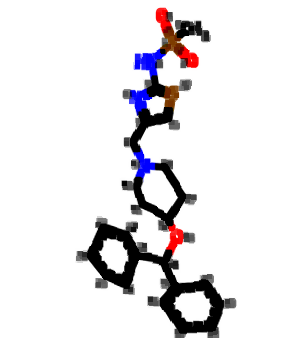 CS(=O)(=O)Nc1nc(CN2CCC(OC(c3ccccc3)c3ccccc3)CC2)cs1